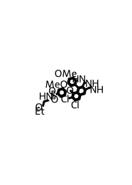 CCOCCCNS(=O)(=O)c1ccc(Oc2c(Cl)c(Cl)cc3cc4c(c(-c5cc(OC)cc(OC)c5)c23)C(=N)NC4=N)cc1